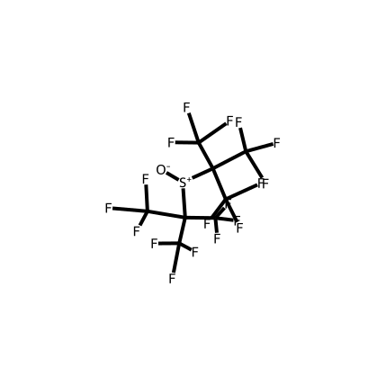 [O-][S+](C(C(F)(F)F)(C(F)(F)F)C(F)(F)F)C(C(F)(F)F)(C(F)(F)F)C(F)(F)F